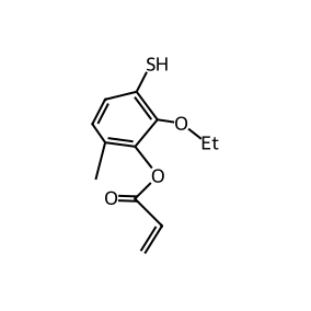 C=CC(=O)Oc1c(C)ccc(S)c1OCC